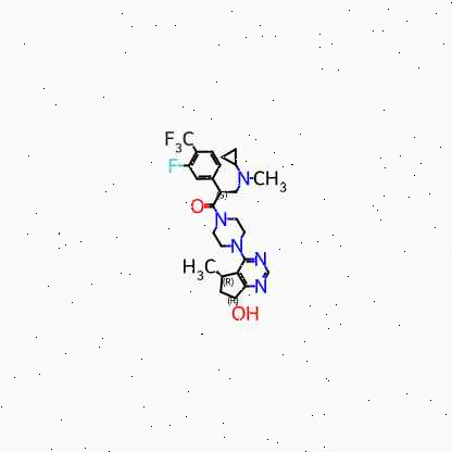 C[C@@H]1C[C@@H](O)c2ncnc(N3CCN(C(=O)[C@H](CN(C)C4CC4)c4ccc(C(F)(F)F)c(F)c4)CC3)c21